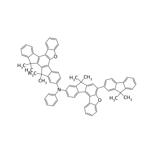 CC1(C)c2ccccc2-c2ccc(-c3cc4c(c5c3oc3ccccc35)-c3ccc(N(c5ccccc5)c5ccc6c(c5)C(C)(C)c5c7c(c8c(oc9ccccc98)c5-6)-c5ccccc5C7(C)C)cc3C4(C)C)cc21